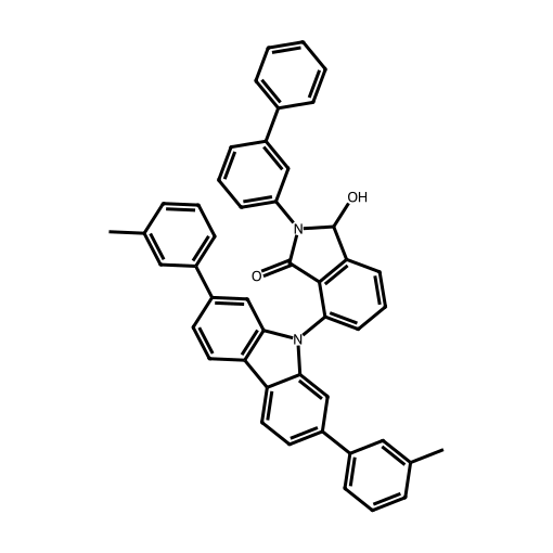 Cc1cccc(-c2ccc3c4ccc(-c5cccc(C)c5)cc4n(-c4cccc5c4C(=O)N(c4cccc(-c6ccccc6)c4)C5O)c3c2)c1